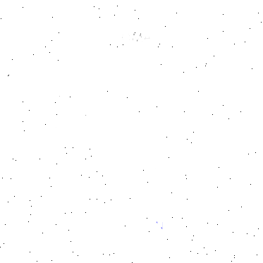 CO/C=C/C1(c2ccc3ncccc3c2)CC1